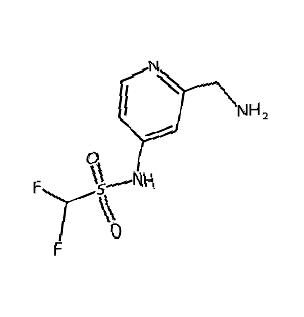 NCc1cc(NS(=O)(=O)C(F)F)ccn1